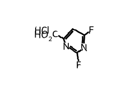 Cl.O=C(O)c1cc(F)nc(F)n1